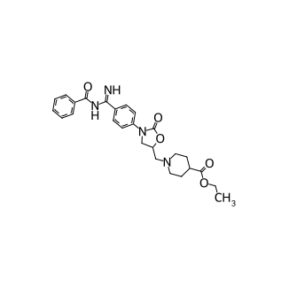 CCOC(=O)C1CCN(CC2CN(c3ccc(C(=N)NC(=O)c4ccccc4)cc3)C(=O)O2)CC1